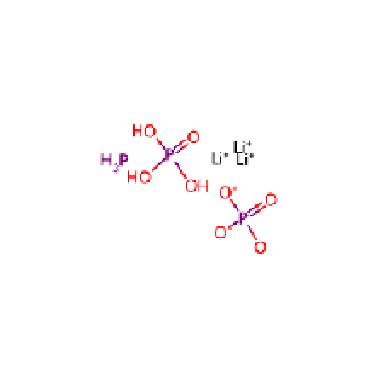 O=P(O)(O)O.O=P([O-])([O-])[O-].P.[Li+].[Li+].[Li+]